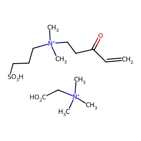 C=CC(=O)CC[N+](C)(C)CCCS(=O)(=O)O.C[N+](C)(C)CC(=O)O